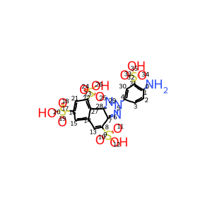 Nc1ccc(-n2nc3c(S(=O)(=O)O)cc4cc(S(=O)(=O)O)cc(S(=O)(=O)O)c4c3n2)cc1S(=O)(=O)O